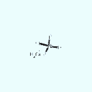 [CaH2].[I][Pb]([I])([I])[I]